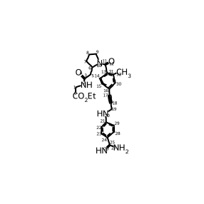 CCOC(=O)CNC(=O)CC1CCCN1C(=O)c1ccc(C#CCNc2ccc(C(=N)N)cc2)cc1C